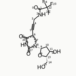 O=C(NCC#Cc1cn([C@@H]2CC(O)[C@H](CO)O2)c(=O)[nH]c1=O)C(F)(F)F